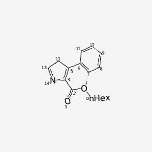 CCCCCCOC(=O)C1=C(c2ccccc2)CC=N1